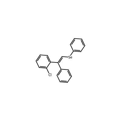 Clc1ccccc1C(=C[Se]c1ccccc1)c1ccccc1